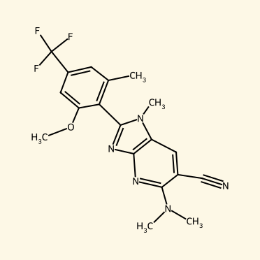 COc1cc(C(F)(F)F)cc(C)c1-c1nc2nc(N(C)C)c(C#N)cc2n1C